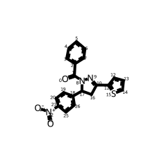 O=C(c1ccccc1)N1N=C(c2cccs2)CC1c1ccc([N+](=O)[O-])cc1